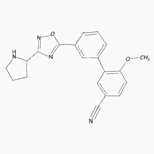 COc1ccc(C#N)cc1-c1cccc(-c2nc(C3CCCN3)no2)c1